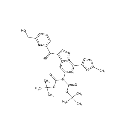 Cc1ccc(-c2nc(N(C(=O)OC(C)(C)C)C(=O)OC(C)(C)C)nc3c(C(=N)c4cccc(CO)n4)cnn23)o1